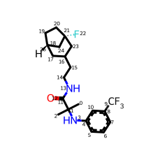 CC(C)(Nc1cccc(C(F)(F)F)c1)C(=O)NCCC1C[C@@H]2CC[C@@](F)(C1)C2